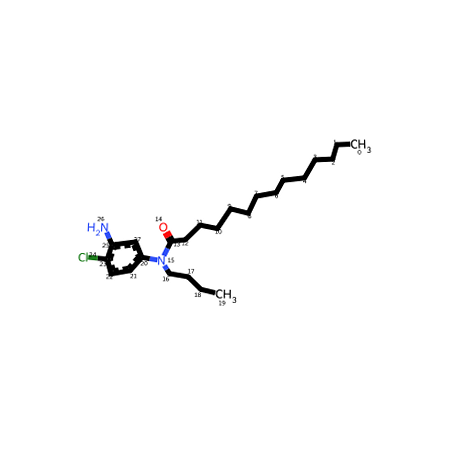 CCCCCCCCCCCCCC(=O)N(CCCC)c1ccc(Cl)c(N)c1